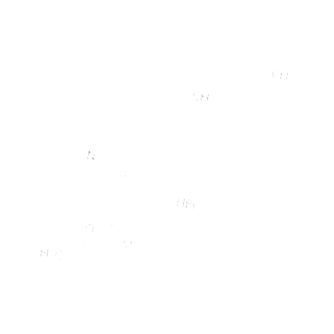 Br.CCCCCCCCCCCC(=O)OCC.CCCCc1cccnc1